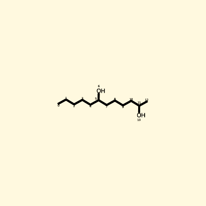 CCCCCC(O)CCCCC(C)O